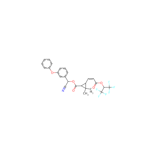 CC1(C)C(/C=C\C(=O)OC(C(F)(F)F)C(F)(F)F)C1C(=O)OC(C#N)c1cccc(Oc2ccccc2)c1